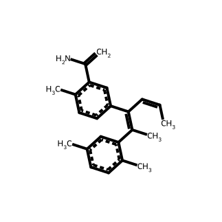 C=C(N)c1cc(C(/C=C\C)=C(/C)c2cc(C)ccc2C)ccc1C